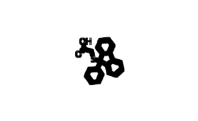 O=C(O)CSC1(c2ccccc2)c2ccccc2-c2ccccc21